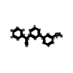 Cc1cccc(-c2cccc(C(=O)c3ccccc3)c2)c1